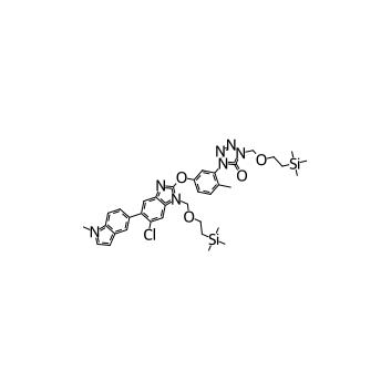 Cc1ccc(Oc2nc3cc(-c4ccc5c(ccn5C)c4)c(Cl)cc3n2COCC[Si](C)(C)C)cc1-n1nnn(COCC[Si](C)(C)C)c1=O